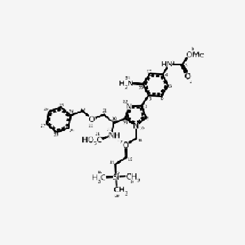 COC(=O)Nc1ccc(-c2cn(COCC[Si](C)(C)C)c([C@H](COCc3ccccc3)NC(=O)O)n2)c(N)c1